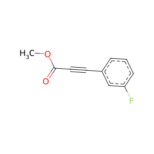 COC(=O)C#Cc1cccc(F)c1